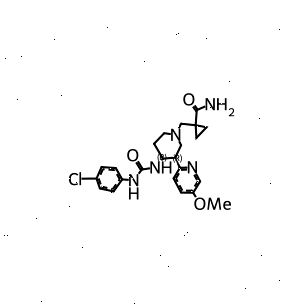 COc1ccc([C@@H]2CN(CC3(C(N)=O)CC3)CC[C@H]2NC(=O)Nc2ccc(Cl)cc2)nc1